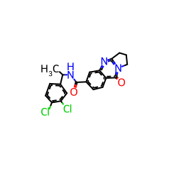 CC(NC(=O)c1ccc2c(=O)n3c(nc2c1)CCC3)c1ccc(Cl)c(Cl)c1